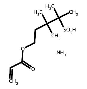 C=CC(=O)OCCC(C)(C)C(C)(C)S(=O)(=O)O.N